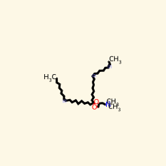 CC/C=C\CCCC/C=C\CCCCCCCCC1(CCCCCCCC/C=C\CCCCCCCC)OCC(CCN(C)C)O1